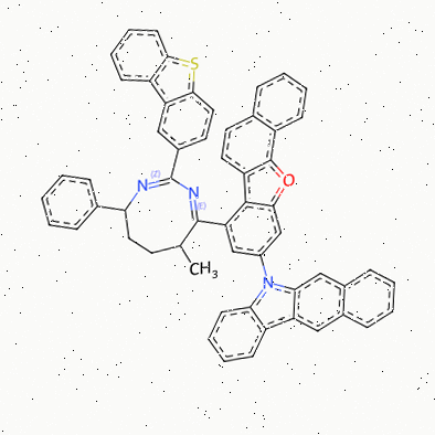 CC1CCC(c2ccccc2)/N=C(c2ccc3sc4ccccc4c3c2)\N=C/1c1cc(-n2c3ccccc3c3cc4ccccc4cc32)cc2oc3c4ccccc4ccc3c12